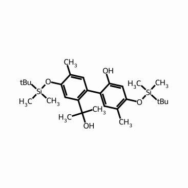 Cc1cc(-c2cc(C)c(O[Si](C)(C)C(C)(C)C)cc2C(C)(C)O)c(O)cc1O[Si](C)(C)C(C)(C)C